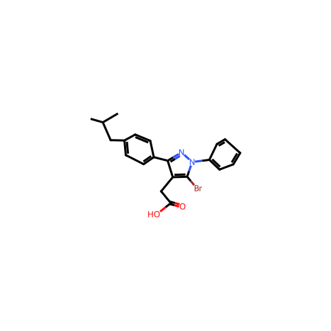 CC(C)Cc1ccc(-c2nn(-c3ccccc3)c(Br)c2CC(=O)O)cc1